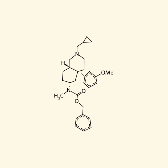 COc1cccc([C@@]23CCN(CC4CC4)C[C@H]2CC[C@@H](N(C)C(=O)OCc2ccccc2)C3)c1